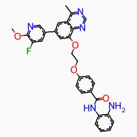 COc1ncc(-c2cc(OCCOc3ccc(C(=O)Nc4ccccc4N)cc3)c3ncnc(C)c3c2)cc1F